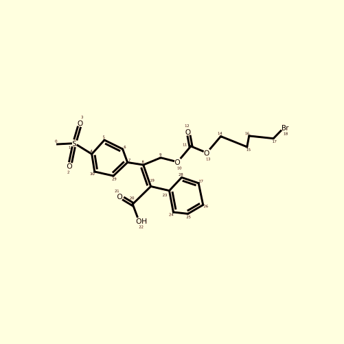 CS(=O)(=O)c1ccc(C(COC(=O)OCCCCBr)=C(C(=O)O)c2ccccc2)cc1